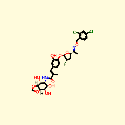 CC(=Cc1ccc(O[C@@H]2O[C@H](C(C)=NOCc3ccc(Cl)cc3Cl)C[C@@H]2F)c(O)c1)C(=O)N[C@@H]1[C@H](O)[C@@H](O)[C@H]2OCO[C@H]2[C@@H]1O